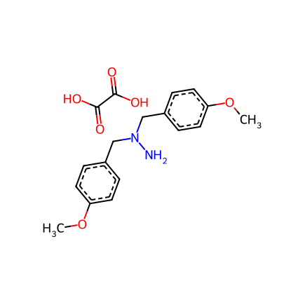 COc1ccc(CN(N)Cc2ccc(OC)cc2)cc1.O=C(O)C(=O)O